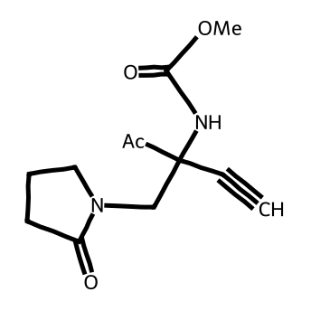 C#CC(CN1CCCC1=O)(NC(=O)OC)C(C)=O